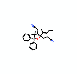 [CH2]C/C=C(\C)C(CCC#N)(CCC#N)O[Si](c1ccccc1)(c1ccccc1)C(C)(C)C